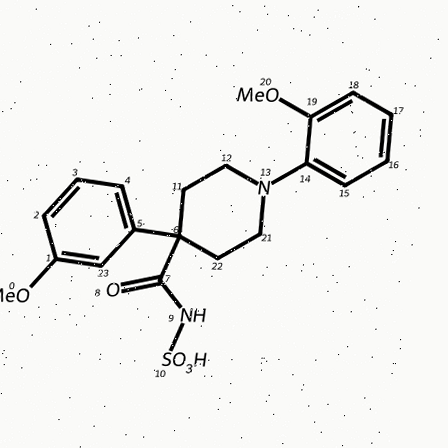 COc1cccc(C2(C(=O)NS(=O)(=O)O)CCN(c3ccccc3OC)CC2)c1